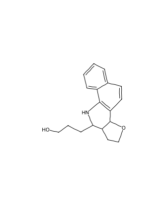 OCCCC1Nc2c(ccc3ccccc23)C2OCCC12